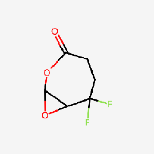 O=C1CCC(F)(F)C2OC2O1